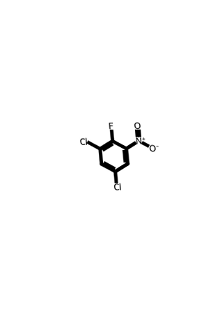 O=[N+]([O-])c1cc(Cl)cc(Cl)c1F